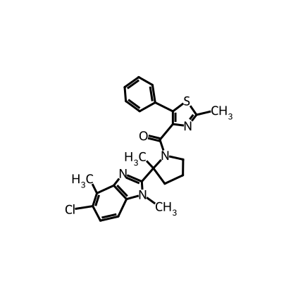 Cc1nc(C(=O)N2CCCC2(C)c2nc3c(C)c(Cl)ccc3n2C)c(-c2ccccc2)s1